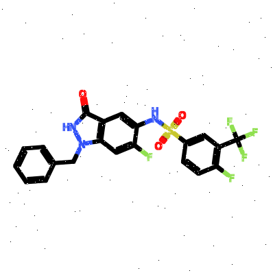 O=c1[nH]n(Cc2ccccc2)c2cc(F)c(NS(=O)(=O)c3ccc(F)c(C(F)(F)F)c3)cc12